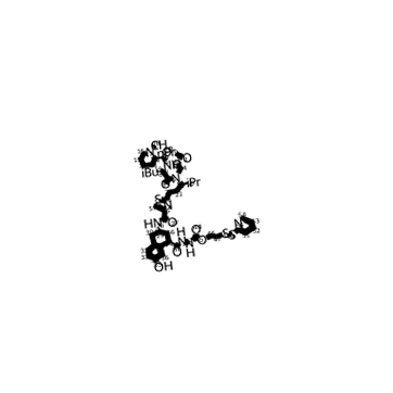 CCCC(=O)OCN(C(=O)[C@@H](NC(=O)[C@H]1CCCCN1C)C(C)CC)[C@H](CCc1nc(C(=O)N[C@H]2Cc3ccc(O)cc3[C@H](C(=O)NNC(=O)OCCSSc3ccccn3)C2)cs1)C(C)C